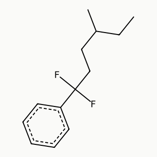 CCC(C)CCC(F)(F)c1ccccc1